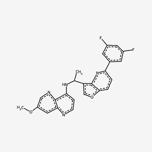 COc1cnc2c(NC(C)c3coc4ccc(-c5cc(F)cc(F)c5)nc34)ccnc2c1